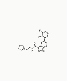 O=C(NCCN1CCCC1)c1n[nH]c2ccc(-c3cccc(F)c3F)cc12